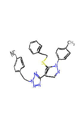 Cc1ccc(-n2ncc(-c3nnn(Cc4ccc(C#N)cc4)n3)c2SCc2ccccc2)cc1